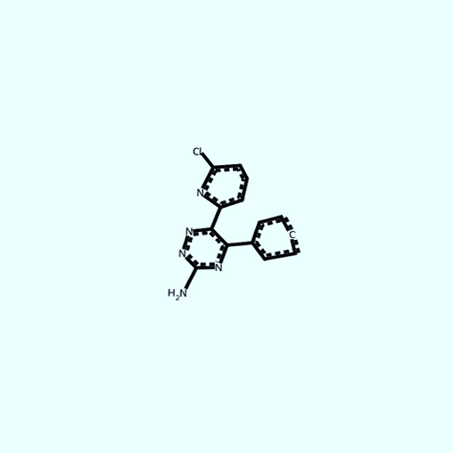 Nc1nnc(-c2cccc(Cl)n2)c(-c2ccccc2)n1